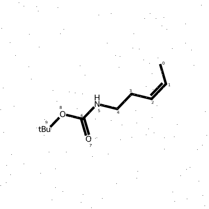 C/C=C\CCNC(=O)OC(C)(C)C